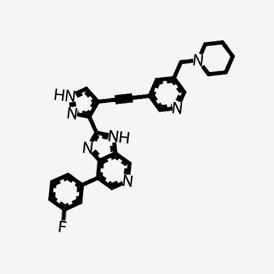 Fc1cccc(-c2cncc3[nH]c(-c4n[nH]cc4C#Cc4cncc(CN5CCCCC5)c4)nc23)c1